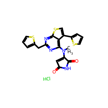 CN(C1=CC(=O)NC1=O)c1nc(Cc2cccs2)nc2scc(-c3cccs3)c12.Cl